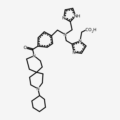 O=C(O)Cn1ccnc1CN(Cc1ccc(C(=O)N2CCC3(CC2)CCN(C2CCCCC2)CC3)cc1)Cc1ncc[nH]1